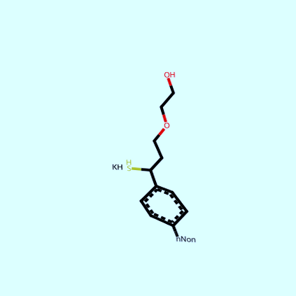 CCCCCCCCCc1ccc(C(S)CCOCCO)cc1.[KH]